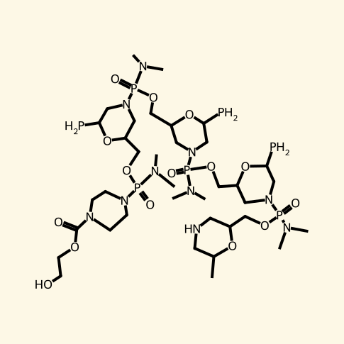 CC1CNCC(COP(=O)(N(C)C)N2CC(P)OC(COP(=O)(N(C)C)N3CC(P)OC(COP(=O)(N(C)C)N4CC(P)OC(COP(=O)(N(C)C)N5CCN(C(=O)OCCO)CC5)C4)C3)C2)O1